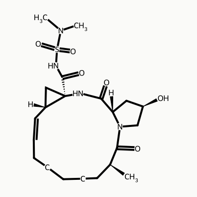 C[C@H]1CCCCC/C=C\[C@@H]2C[C@@]2(C(=O)NS(=O)(=O)N(C)C)NC(=O)[C@@H]2C[C@@H](O)CN2C1=O